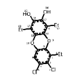 CCc1c(Cl)c(Cl)cc2c1Oc1c(CC)c(O)c(O)c(CC)c1O2